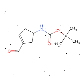 CC(C)(C)OC(=O)NC1CC=C(C=O)C1